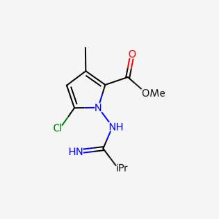 COC(=O)c1c(C)cc(Cl)n1NC(=N)C(C)C